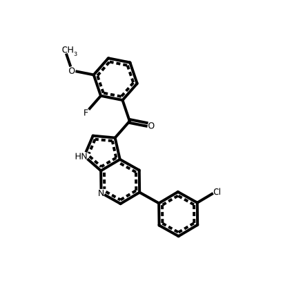 COc1cccc(C(=O)c2c[nH]c3ncc(-c4cccc(Cl)c4)cc23)c1F